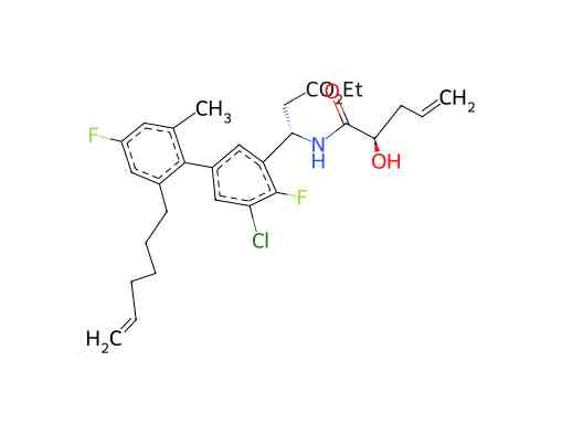 C=CCCCCc1cc(F)cc(C)c1-c1cc(Cl)c(F)c([C@H](CC(=O)OCC)NC(=O)[C@H](O)CC=C)c1